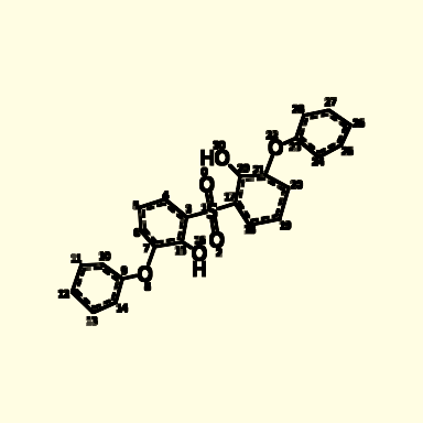 O=S(=O)(c1cccc(Oc2ccccc2)c1O)c1cccc(Oc2ccccc2)c1O